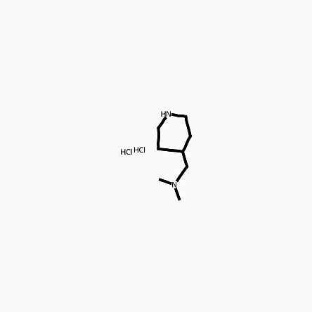 CN(C)CC1CCNCC1.Cl.Cl